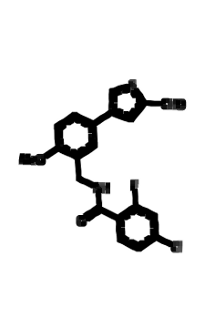 COc1ccc(-c2csc(C=O)c2)cc1CNC(=O)c1ccc(Cl)cc1F